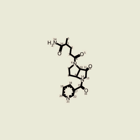 CC(C[CH]C(=O)N1CCC2C1C(=O)CN2C(=O)c1cccnc1)C(N)=O